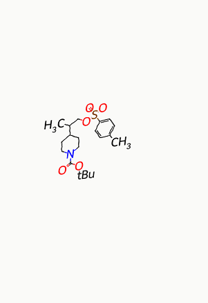 Cc1ccc(S(=O)(=O)OCC(C)C2CCN(C(=O)OC(C)(C)C)CC2)cc1